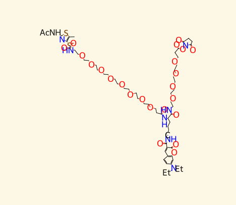 CCN(CC)c1ccc2cc(C(=O)NCCCCC(NC(=O)CCOCCOCCOCCOCCOCCOCCOCCOCCNS(=O)(=O)c3nc(NC(C)=O)sc3C)C(=O)NCCOCCOCCOCCOCCC(=O)ON3C(=O)CCC3=O)c(=O)oc2c1